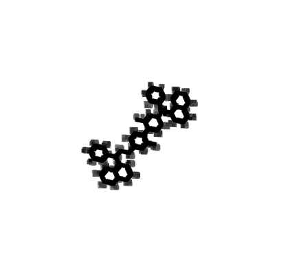 CC1=CC(N(c2ccccc2)C2C=CC=C3C=CC=CC32)CC=C1c1ccc(CCC(C2=C3C=CC=CC3CC=C2)c2ccccc2)cc1C